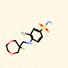 NS(=O)(=O)c1ccc(NCC2(F)COCCOC2)c([N+](=O)[O-])c1